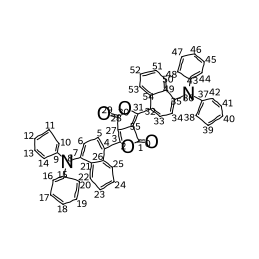 O=C1OC(c2ccc(N(c3ccccc3)c3ccccc3)c3ccccc23)=C2C(=O)OC(c3ccc(N(c4ccccc4)c4ccccc4)c4ccccc34)=C12